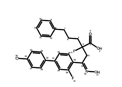 O=C(O)C(F)(CCCc1ccccc1)C/C(=N\O)c1ccc(-c2ccc(Cl)cc2)cc1F